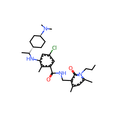 CCCn1c(C)cc(C)c(CNC(=O)c2cc(Cl)cc(NC(C)[C@H]3CC[C@H](N(C)C)CC3)c2C)c1=O